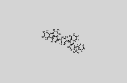 CC1(C)c2ccccc2-c2c1ccc1c2c2ccccc2n1-c1ccc(-c2ccc3c4c(cccc24)-c2ccccc2-3)cc1